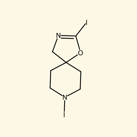 IC1=NCC2(CCN(I)CC2)O1